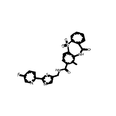 Cc1c(C(=O)NCc2cnc(-c3ccc(F)cn3)s2)ccc2c1NC(=O)c1ccccc1S2(=O)=O